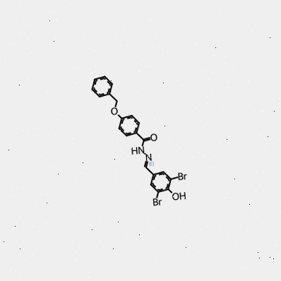 O=C(N/N=C/c1cc(Br)c(O)c(Br)c1)c1ccc(OCc2ccccc2)cc1